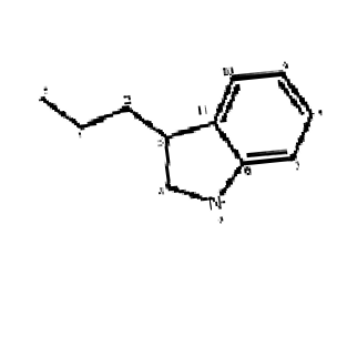 CCCC1C[N]c2ccccc21